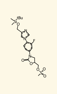 CC(C)(C)[Si](C)(C)OCc1cn(-c2ccc(N3CC(COS(C)(=O)=O)OC3=O)cc2F)cn1